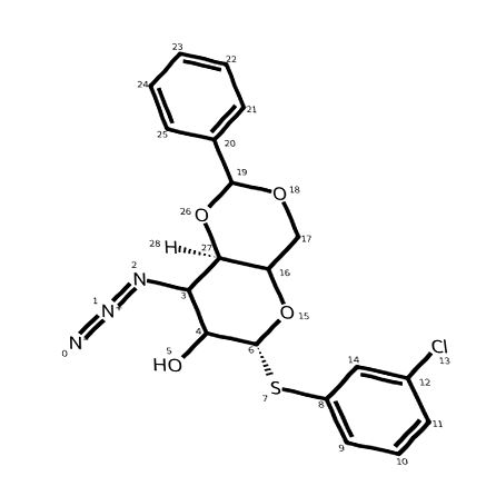 [N-]=[N+]=NC1C(O)[C@@H](Sc2cccc(Cl)c2)OC2COC(c3ccccc3)O[C@@H]21